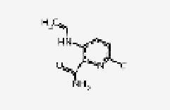 C=CNc1ccc(Cl)nc1C(N)=O